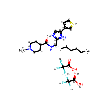 CC(=O)CCCCC[C@H](NC(=O)C1CCN(C)CC1)c1ncc(-c2ccsc2)[nH]1.O=C(O)C(F)(F)F.O=C(O)C(F)(F)F